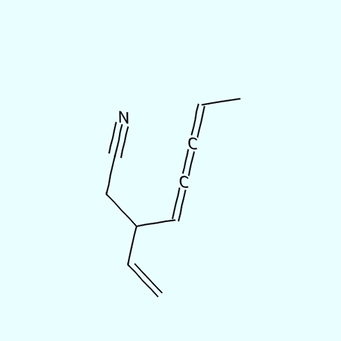 C=CC(C=C=C=CC)CC#N